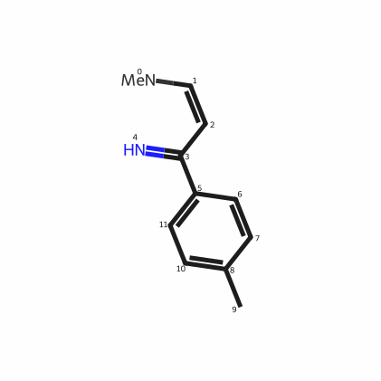 CN/C=C\C(=N)c1ccc(C)cc1